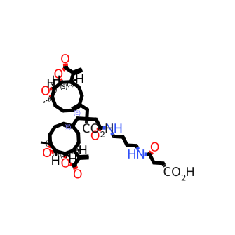 C=C1C(=O)O[C@H]2[C@H]1CC/C(CC(CC(=O)NCCCCNC(=O)CCC(=O)O)(C/C1=C/CC[C@@]3(C)O[C@H]3[C@H]3OC(=O)C(=C)[C@@H]3CC1)C(=O)O)=C\CC[C@@]1(C)O[C@@H]21